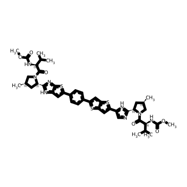 COC(=O)N[C@H](C(=O)N1C[C@@H](C)C[C@H]1c1ncc(-c2cc3sc(-c4ccc(-c5cc6[nH]c([C@@H]7C[C@H](C)CN7C(=O)[C@@H](NC(=O)OC)C(C)C)nc6s5)cc4)cc3s2)[nH]1)C(C)C